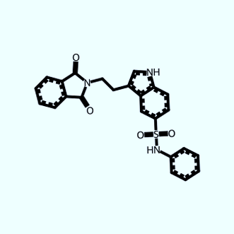 O=C1c2ccccc2C(=O)N1CCc1c[nH]c2ccc(S(=O)(=O)Nc3ccccc3)cc12